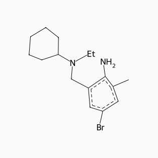 CCN(Cc1cc(Br)cc(C)c1N)C1CCCCC1